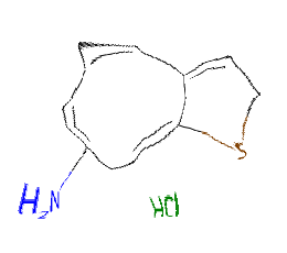 Cl.NC1=CC=CC2=CCSC2=C1